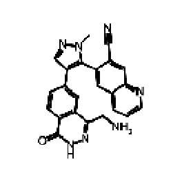 Cn1ncc(-c2ccc3c(=O)[nH]nc(CN)c3c2)c1-c1cc2cccnc2cc1C#N